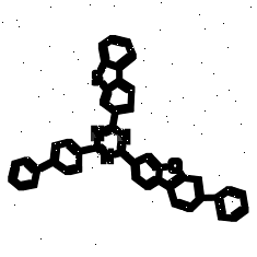 c1ccc(-c2ccc(-c3nc(-c4ccc5c(c4)oc4cc(-c6ccccc6)ccc45)nc(-c4ccc5c(c4)sc4ccccc45)n3)cc2)cc1